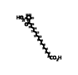 O=C(O)CCCCCCCCCCCCCCCCC(=O)N1CCC[C@H]1CO